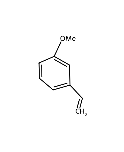 C=Cc1cc[c]c(OC)c1